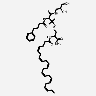 CC/C=C\C/C=C\C/C=C\C/C=C\C/C=C\C/C=C\CCC(=O)NC(CSSC(C)(C)C(NC(=O)CCCc1ccccc1)C(=O)NCC(O)CO)C(N)=O